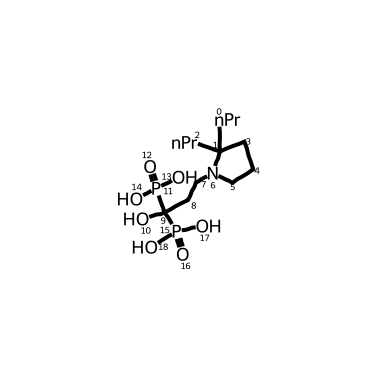 CCCC1(CCC)CCCN1CCC(O)(P(=O)(O)O)P(=O)(O)O